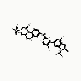 Cc1nc2c(F)cc(-c3nc(Nc4ccc5c(c4)OCC4CN(S(C)(=O)=O)CC(=O)N54)ncc3F)cc2n1C(C)C